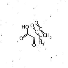 C=C=O.C=C=O.O=CC(=O)O